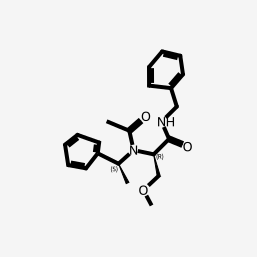 COC[C@H](C(=O)NCc1ccccc1)N(C(C)=O)[C@@H](C)c1ccccc1